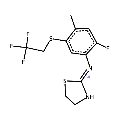 Cc1cc(F)c(/N=C2/NCCS2)cc1SCC(F)(F)F